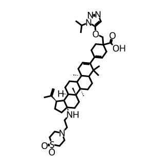 C=C(C)[C@@H]1CC[C@]2(NCCN3CCS(=O)(=O)CC3)CC[C@]3(C)[C@H](CCC4[C@@]5(C)CC=C(C6=CCC(COc7cnnn7C(C)C)(C(=O)O)CC6)C(C)(C)C5CC[C@]43C)C12